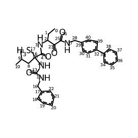 CCC(NC(=O)[C@@]([SiH3])(CC(C)C)NC(=O)NCc1ccccc1)C(=O)C(=O)NCc1ccc(-c2ccccc2)cc1